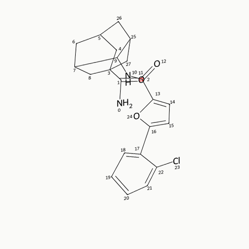 NC(=O)C12CC3CC(C1)C(NC(=O)c1ccc(-c4ccccc4Cl)o1)C(C3)C2